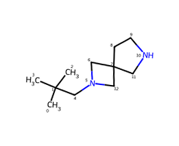 CC(C)(C)CN1CC2(CCNC2)C1